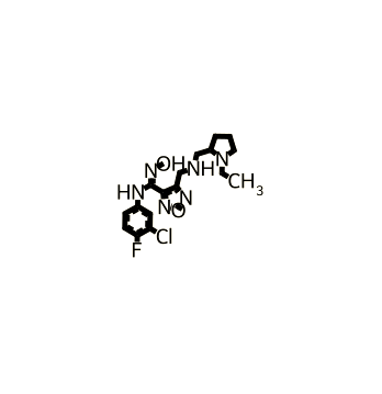 CCN1CCCC1CNCc1nonc1/C(=N\O)Nc1ccc(F)c(Cl)c1